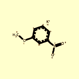 COc1cccc(S(=O)[O-])c1.[K+]